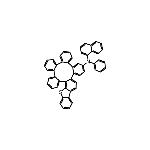 c1ccc(N(c2ccc3c(c2)c2ccccc2c2ccccc2c2ccccc2c2c3ccc3c4ccccc4sc32)c2cccc3ccccc23)cc1